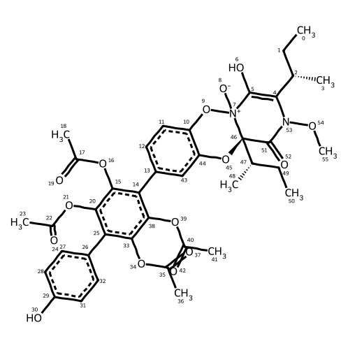 CC[C@H](C)C1=C(O)[N+]2([O-])Oc3ccc(-c4c(OC(C)=O)c(OC(C)=O)c(-c5ccc(O)cc5)c(OC(C)=O)c4OC(C)=O)cc3O[C@]2([C@@H](C)CC)C(=O)N1OC